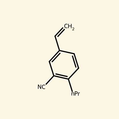 C=Cc1ccc(CCC)c(C#N)c1